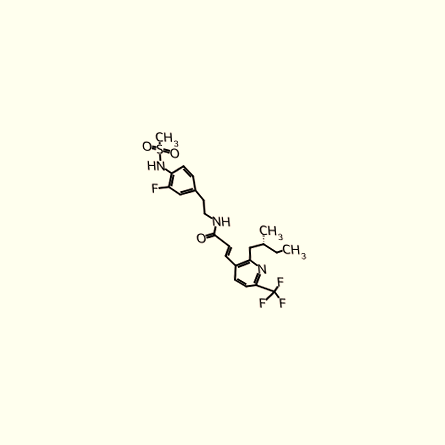 CC[C@@H](C)Cc1nc(C(F)(F)F)ccc1C=CC(=O)NCCc1ccc(NS(C)(=O)=O)c(F)c1